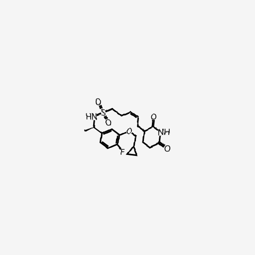 C[C@@H](NS(=O)(=O)CC/C=C\CC1CCC(=O)NC1=O)c1ccc(F)c(OCC2CC2)c1